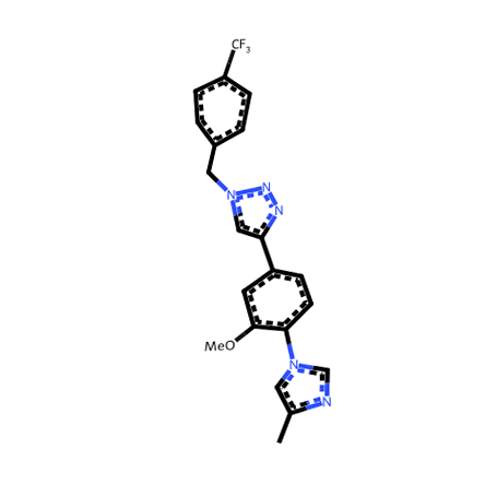 COc1cc(-c2cn(Cc3ccc(C(F)(F)F)cc3)nn2)ccc1-n1cnc(C)c1